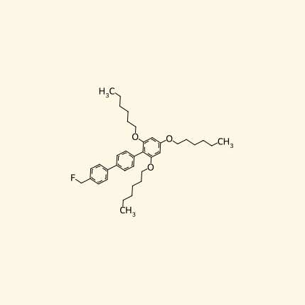 CCCCCCOc1cc(OCCCCCC)c(-c2ccc(-c3ccc(CF)cc3)cc2)c(OCCCCCC)c1